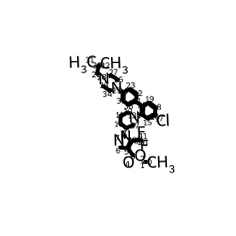 CCOC(=O)c1cnn(C2CCCN(c3cc(Cl)ccc3-c3ccc(N4CCN(CC(C)C)CC4)cc3)C2)c1C(F)F